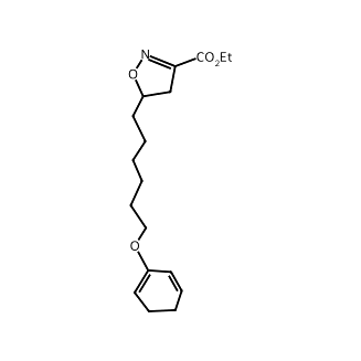 CCOC(=O)C1=NOC(CCCCCCOC2=CCCC=C2)C1